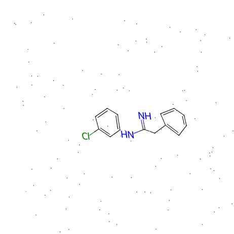 N=C(Cc1ccccc1)Nc1cccc(Cl)c1